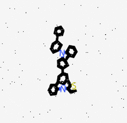 c1ccc(-c2cccc(-n3c4ccccc4c4cc(-c5cc6c7ccccc7n7c8ccsc8c(c5)c67)ccc43)c2)cc1